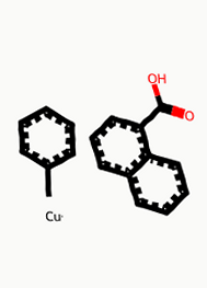 Cc1ccccc1.O=C(O)c1cccc2ccccc12.[Cu]